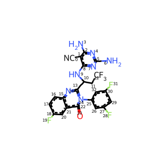 N#Cc1c(N)nc(N)nc1NC(CC(F)(F)F)c1nc2ccc(F)cc2c(=O)n1-c1cc(F)cc(F)c1